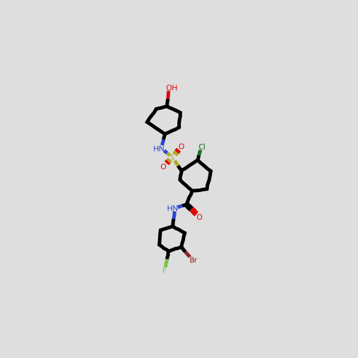 O=C(NC1CCC(F)C(Br)C1)C1CCC(Cl)C(S(=O)(=O)NC2CCC(O)CC2)C1